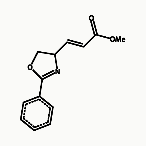 COC(=O)C=CC1COC(c2ccccc2)=N1